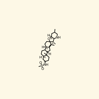 CC1=C2C[C@H]3C(CC[C@@H]4C[C@H](NS(C)(=O)=O)CCC43C)[C@@H]2CCC12O[C@@H]1CC(C)CNC1[C@H]2C